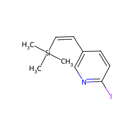 C[Si](C)(C)/C=C\c1ccc(I)nc1